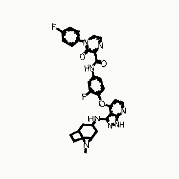 CN1C2CC(Nc3n[nH]c4nccc(Oc5ccc(NC(=O)c6nccn(-c7ccc(F)cc7)c6=O)cc5F)c34)CC3CCC321